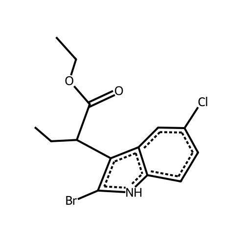 CCOC(=O)C(CC)c1c(Br)[nH]c2ccc(Cl)cc12